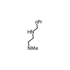 [CH2-][NH2+]CCNCCCC